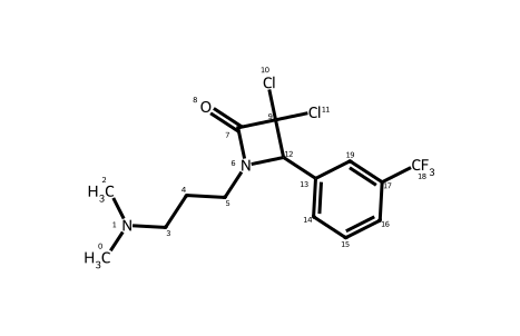 CN(C)CCCN1C(=O)C(Cl)(Cl)C1c1cccc(C(F)(F)F)c1